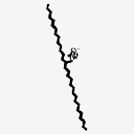 CCCCCCCCCCCCCCCCC(CCCCCCCCCCCCCC)C[N+](C)(C)[O-]